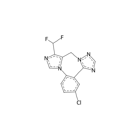 FC(F)c1ncn2c1Cn1ncnc1-c1cc(Cl)ccc1-2